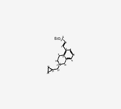 CCOC(=O)C=Cc1cccc2c1CCN(CC1CC1)C2